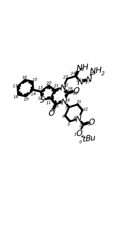 CC(C)(C)OC(=O)N1CCC(n2c(=O)c3sc(-c4ccccc4)cc3n(CC(=N)/N=N\N)c2=O)CC1